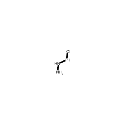 NNPCl